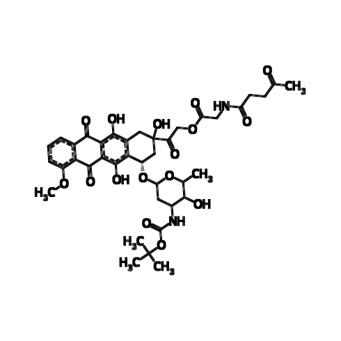 COc1cccc2c1C(=O)c1c(O)c3c(c(O)c1C2=O)CC(O)(C(=O)COC(=O)CNC(=O)CCC(C)=O)C[C@@H]3OC1CC(NC(=O)OC(C)(C)C)C(O)C(C)O1